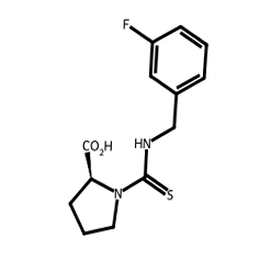 O=C(O)[C@@H]1CCCN1C(=S)NCc1cccc(F)c1